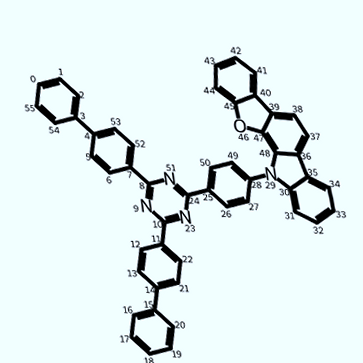 c1ccc(-c2ccc(-c3nc(-c4ccc(-c5ccccc5)cc4)nc(-c4ccc(-n5c6ccccc6c6ccc7c8ccccc8oc7c65)cc4)n3)cc2)cc1